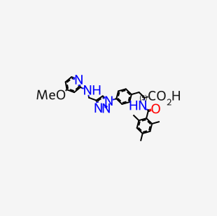 COc1ccnc(NCc2cn(-c3ccc(C[C@H](NC(=O)c4c(C)cc(C)cc4C)C(=O)O)cc3)nn2)c1